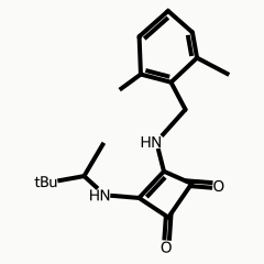 Cc1cccc(C)c1CNc1c(NC(C)C(C)(C)C)c(=O)c1=O